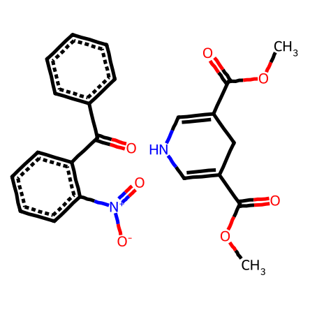 COC(=O)C1=CNC=C(C(=O)OC)C1.O=C(c1ccccc1)c1ccccc1[N+](=O)[O-]